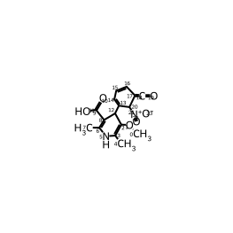 COC1=C(C)NC(C)=C(C(=O)O)C1C1=CC=CC(=C=O)C1[N+](=O)[O-]